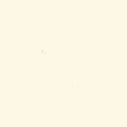 Bc1ccc(C)c(C)c1.CC(C)NC(C)C